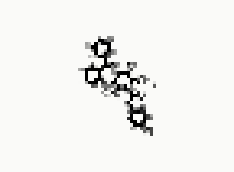 CC(NC(=O)Cc1ccc(Cl)cc1)C(=O)C1N=C(c2ccccc2)c2ccccc2N(C)[C@@H]1N